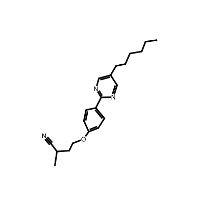 CCCCCCc1cnc(-c2ccc(OCCC(C)C#N)cc2)nc1